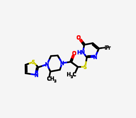 CC(Sc1nc(C(C)C)cc(=O)[nH]1)C(=O)N1CCN(c2nccs2)C(C)C1